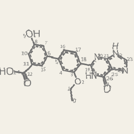 CCOc1cc(-c2cc(O)cc(C(=O)O)c2)ccc1-c1nc2[nH]cnc2c(=O)[nH]1